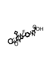 C[C@@H]1CCCCCN1C(=O)c1cc(C2CCC2)n2nc(-c3ccc(-n4cc(C(=O)O)cn4)cc3F)cc2n1